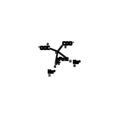 CCCCCC(C(=O)[O-])(C(=O)[O-])C(C)C.[Na+].[Na+]